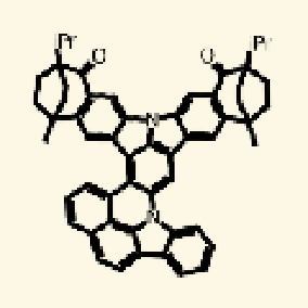 CC(C)C12CCC(C)(CC1)c1cc3c4cc5c(c6cccc7ccc8c9ccccc9n5c8c76)c5c6cc7c(cc6n(c3cc1C2=O)c45)C(=O)C1(C(C)C)CCC7(C)CC1